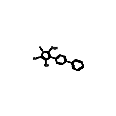 CC(=O)c1c(C#N)c(-c2ccc(-c3ccccc3)cc2)c(C(=O)O)n1C